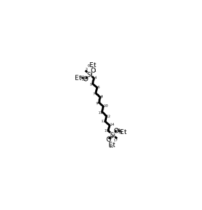 CCO[Si](C)(CCCCCCCCCCCC[Si](C)(OCC)OCC)OCC